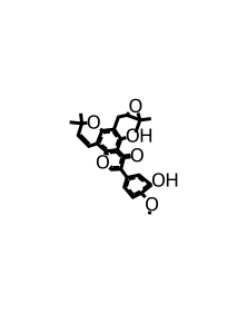 COc1ccc(-c2coc3c4c(c(CC5OC5(C)C)c(O)c3c2=O)OC(C)(C)C=C4)cc1O